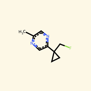 Cc1cnc(C2(CF)CC2)cn1